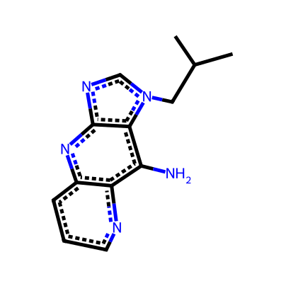 CC(C)Cn1cnc2nc3cccnc3c(N)c21